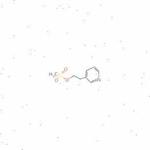 CS(=O)(=O)OCCc1cccnc1